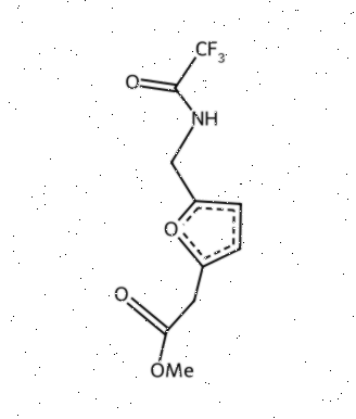 COC(=O)Cc1ccc(CNC(=O)C(F)(F)F)o1